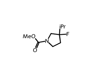 COC(=O)N1CCC(F)(C(C)C)C1